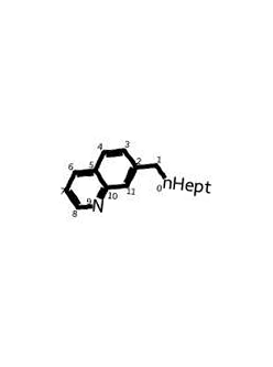 CCCCCCCCc1ccc2cccnc2c1